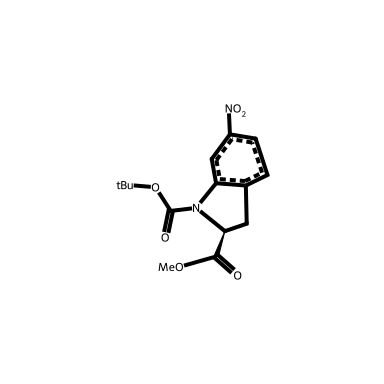 COC(=O)[C@@H]1Cc2ccc([N+](=O)[O-])cc2N1C(=O)OC(C)(C)C